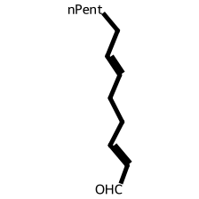 CCCCCCC=CCCC=CC=O